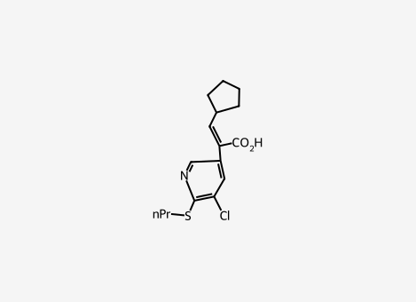 CCCSc1ncc(C(=CC2CCCC2)C(=O)O)cc1Cl